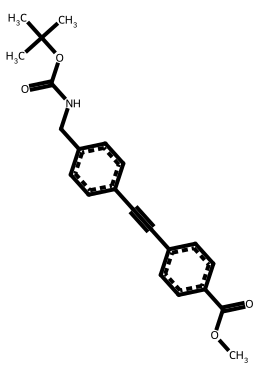 COC(=O)c1ccc(C#Cc2ccc(CNC(=O)OC(C)(C)C)cc2)cc1